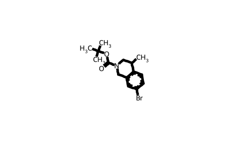 CC1CN(C(=O)OC(C)(C)C)Cc2cc(Br)ccc21